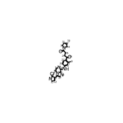 Cc1cc(Nc2nccn3c(C4=CCN=C4C(F)(F)F)cnc23)ccc1C(=O)CCC(=O)N1CC[C@H](C)C1